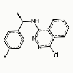 C[C@@H](Nc1nnc(Cl)c2ccccc12)c1ccc(F)cc1